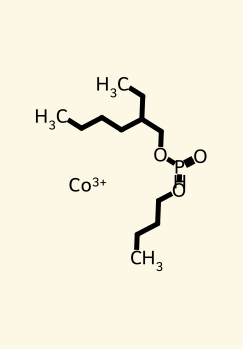 CCCCO[PH](=O)OCC(CC)CCCC.[Co+3]